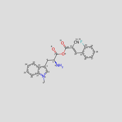 Cn1cc(C[C@H](N)C(=O)OC(=O)C(C#N)=Cc2ccccc2F)c2ccccc21